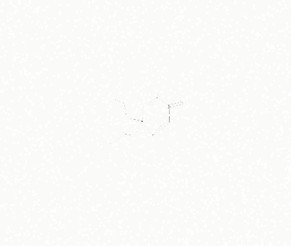 CCOC1(OCC)C=CC(=O)C=C1